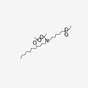 CCCCCCCC(CCCN(CCCCCCC(=O)OCC)C(C)=O)OC(C)=O